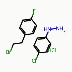 Cl.Fc1ccc(CCBr)cc1.NNc1ccc(Cl)cc1